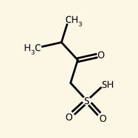 CC(C)C(=O)CS(=O)(=O)S